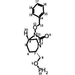 O=C1N2C[C@H](CC[C@H]2COP)N1OCc1ccccc1